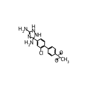 CS(=O)(=O)c1ccc(-c2ccc(C3(N)N=C(N)NN3)cc2Cl)cc1